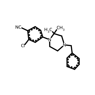 CC1(C)CN(Cc2ccccc2)CCN1c1ccc(C#N)c(Cl)c1